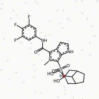 Cn1c(C(=O)Nc2cc(F)c(F)c(F)c2)c2cc[nH]c2c1S(=O)(=O)NC1C2CCC1CC(O)(CO)C2